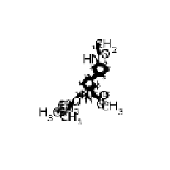 C=CC(=O)Nc1cccc(-c2ccc3c(n2)c(C(=O)OC)nn3COCC[Si](C)(C)C)c1